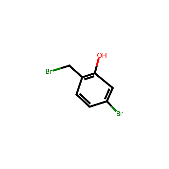 Oc1cc(Br)ccc1CBr